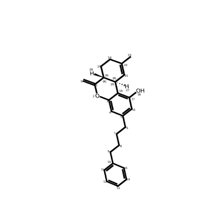 C=C1Oc2cc(CCCCc3ccccc3)cc(O)c2[C@@H]2C=C(C)CC[C@@H]12